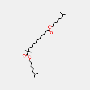 CC(C)CCCCCOC(=O)CCCCCCCCCC(C)(C)C(=O)OCCCCCC(C)C